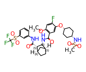 COc1cc(F)c(O[C@H]2CC[C@@H](NS(C)(=O)=O)CC2)cc1C(=O)N[C@@H]1[C@H]2CC[C@H](C2)[C@@H]1C(=O)Nc1cccc(S(=O)(=O)C(F)(F)F)c1